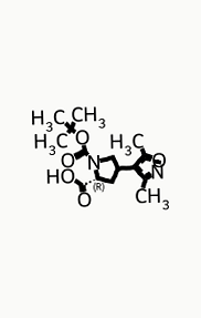 Cc1noc(C)c1C1C[C@H](C(=O)O)N(C(=O)OC(C)(C)C)C1